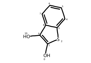 Oc1sc2ccccc2c1O